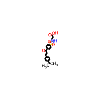 CC(C)c1ccc(C=CC(=O)c2ccc(S(=O)(=O)NCCC(=O)O)cc2)cc1